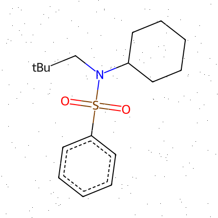 CC(C)(C)CN(C1CCCCC1)S(=O)(=O)c1ccccc1